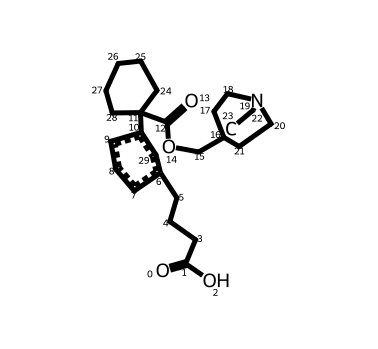 O=C(O)CCCc1cccc(C2(C(=O)OCC34CCN(CC3)CC4)CCCCC2)c1